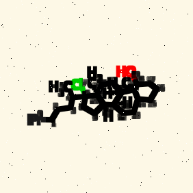 CC(C)CCC[C@@H](C)[C@@]1(Cl)CC[C@H]2[C@@H]3CCC4CCCC(O)[C@]4(C)[C@H]3CC[C@@]21C